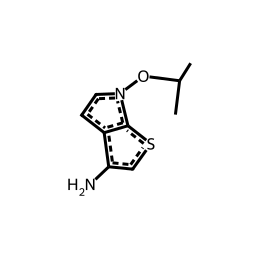 CC(C)On1ccc2c(N)csc21